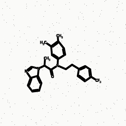 Cc1ccc(N(CCc2ccc(C(F)(F)F)cc2)C(=O)C(C)n2cnc3ccccc32)cc1C